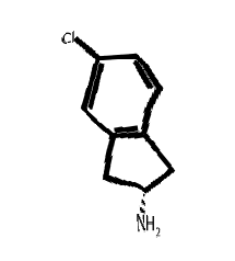 N[C@H]1Cc2ccc(Cl)cc2C1